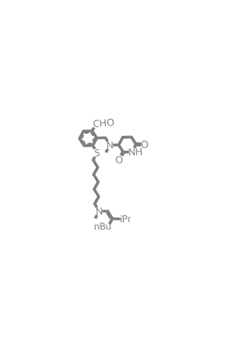 CCCC/C(=C\N(C)CCCCCCCSc1cccc(C=O)c1CN(C)C1CCC(=O)NC1=O)C(C)C